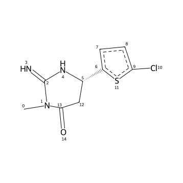 CN1C(=N)N[C@H](c2ccc(Cl)s2)CC1=O